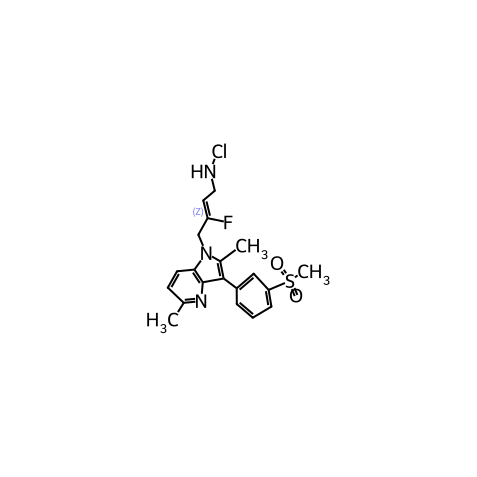 Cc1ccc2c(n1)c(-c1cccc(S(C)(=O)=O)c1)c(C)n2C/C(F)=C/CNCl